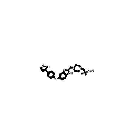 CC(C)(C=O)CN1CCN(Cc2nc3cc(Oc4ccc(-c5ccn[nH]5)cc4)ccc3[nH]2)CC1